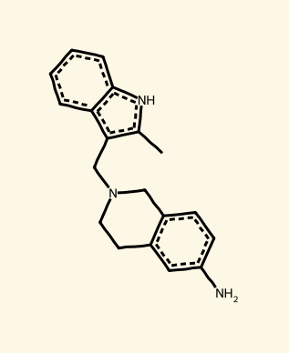 Cc1[nH]c2ccccc2c1CN1CCc2cc(N)ccc2C1